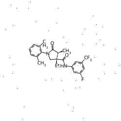 CC[C@@]1(C(=O)Nc2cc(F)cc(C(F)(F)F)c2)CN(c2c(C)cccc2C)C(=O)[C@H]1C